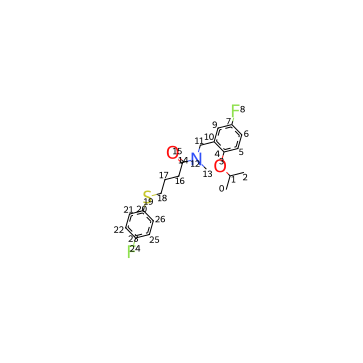 CC(C)Oc1ccc(F)cc1CN(C)C(=O)CCCSc1ccc(F)cc1